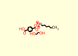 CCCCCC=NS(=O)(=O)OC(=O)c1ccc(C(=O)O)cc1.OCCO